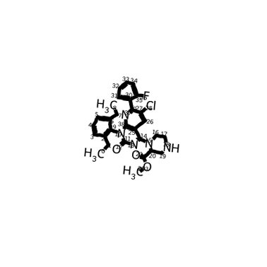 CCc1cccc(CC)c1-n1c(=O)nc(N2CCNCC2C(=O)OC)c2cc(Cl)c(-c3ccccc3F)nc21